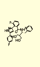 O=C(N[C@H](Cc1ccccn1)C(CO)CO)c1cccc(F)c1-c1cc(-c2ccc(F)cc2)[nH]n1